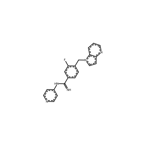 N=C(Nc1ccncc1)c1ccc(Cn2ccc3ncccc32)c(F)c1